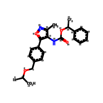 CCC(OCc1ccc(-c2onc(C)c2NC(=O)OC(c2ccccc2)C(F)(F)F)cc1)C(=O)O